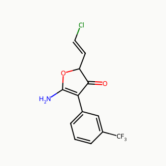 NC1=C(c2cccc(C(F)(F)F)c2)C(=O)C(C=CCl)O1